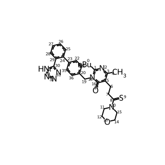 CCCCc1nc(C)c(CCC(=S)N2CCOCC2)c(=O)n1Cc1ccc(-c2ccccc2-c2nnn[nH]2)cc1